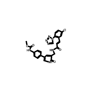 COC(=O)Nc1ccc(-c2c[nH]c(=O)c(CNC(=O)C=Cc3cc(Cl)ccc3-n3cnnn3)c2)cc1